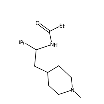 CCC(=O)NC(CC1CCN(C)CC1)C(C)C